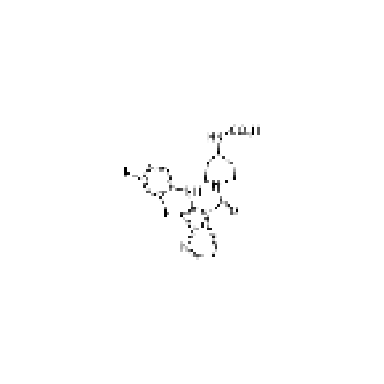 O=C(O)NC1CCN(C(=O)c2c(Nc3ccc(I)cc3F)sc3ncccc23)CC1